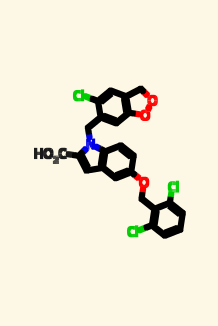 O=C(O)c1cc2cc(OCc3c(Cl)cccc3Cl)ccc2n1Cc1cc2c(cc1Cl)COO2